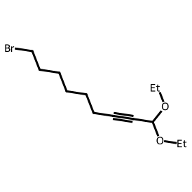 CCOC(C#CCCCCCCBr)OCC